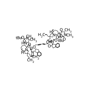 C=CCC1(CC=C)C[C@@H]2SCC[C@H](NC(=O)[C@H](C)N(C)C(=O)OC(C)(C)C)C(=O)N2[C@@H]1C(=O)N[C@H]1c2ccccc2C[C@H]1OCC#CC#CCO[C@@H]1Cc2ccccc2[C@@H]1NC(=O)[C@H]1N2C(=O)[C@@H](NC(=O)[C@H](C)N(C)C(=O)OC(C)(C)C)CCS[C@H]2CC1(CC=C)CC=C